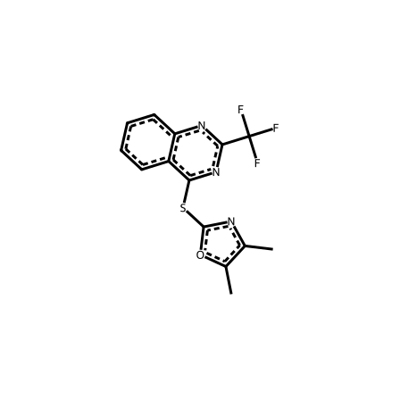 Cc1nc(Sc2nc(C(F)(F)F)nc3ccccc23)oc1C